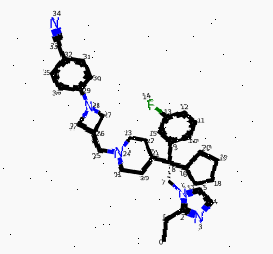 CCc1nccn1C[C@](c1cccc(F)c1)(C1CCCC1)C1CCN(CC2CN(c3ccc(C#N)cc3)C2)CC1